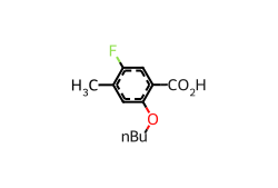 CCCCOc1cc(C)c(F)cc1C(=O)O